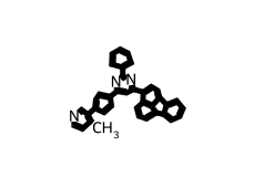 Cc1ccncc1-c1ccc(-c2cc(-c3ccc4c5c(cccc35)-c3ccccc3-4)nc(-c3ccccc3)n2)cc1